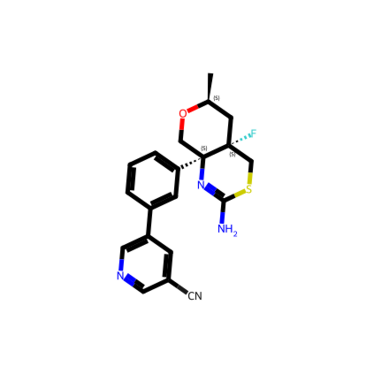 C[C@H]1C[C@@]2(F)CSC(N)=N[C@@]2(c2cccc(-c3cncc(C#N)c3)c2)CO1